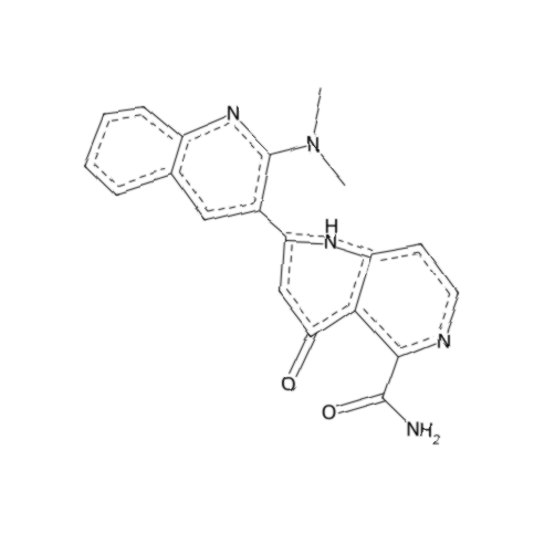 CN(C)c1nc2ccccc2cc1-c1cc(=O)c2c(C(N)=O)nccc2[nH]1